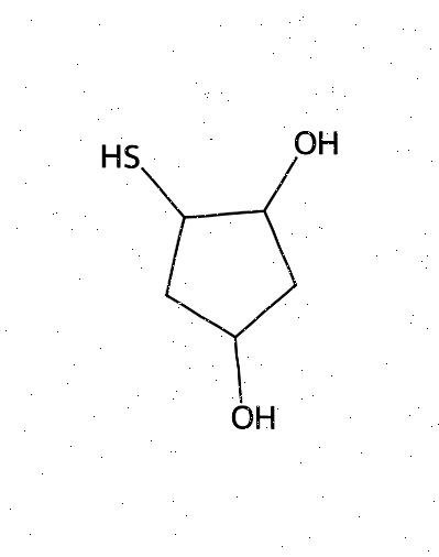 OC1CC(O)C(S)C1